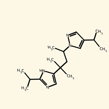 CC(C)c1cnn(C(C)CC(C)(C)c2cnc(C(C)C)[nH]2)c1